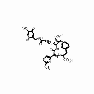 Nc1nc(C(=NO[C@@H](Cc2ccccc2)C(=O)O)C(=O)N[C@@H]2C(=O)N(S(=O)(=O)O)[C@H]2CNC(=O)NCc2cc(=O)c(O)cn2O)cs1